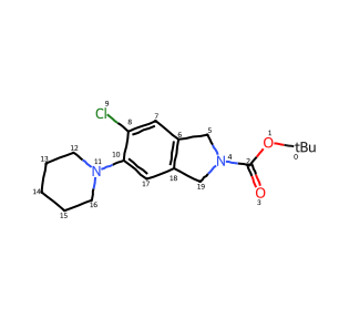 CC(C)(C)OC(=O)N1Cc2cc(Cl)c(N3CCCCC3)cc2C1